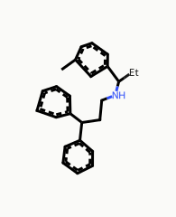 CCC(NCCC(c1ccccc1)c1ccccc1)c1cccc(C)c1